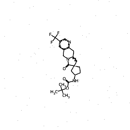 CC(C)(C)OC(=O)N[C@@H]1CC[C@@]2(C1)C(=O)N1Cc3cc(C(F)(F)F)cnc3CC13CCCC32